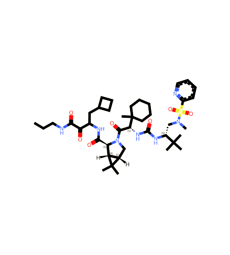 CCCNC(=O)C(=O)C(CC1CCC1)NC(=O)[C@@H]1[C@@H]2[C@H](CN1C(=O)[C@@H](NC(=O)N[C@H](CN(C)S(=O)(=O)c1ccccn1)C(C)(C)C)C1(C)CCCCC1)C2(C)C